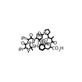 CCC(C)C(C(CC(=O)N1CCCC1C(OC)C(C)C(=O)NC(Cc1ccccc1)C(=O)O)OC)N(C)C(=O)C(NC(=O)C(C(C)C)N(C)C(C)(C)S)C(C)C